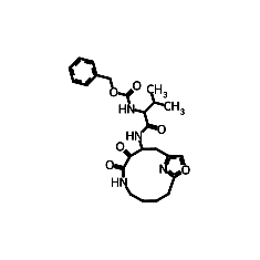 CC(C)C(NC(=O)OCc1ccccc1)C(=O)NC1Cc2coc(n2)CCCCNC(=O)C1=O